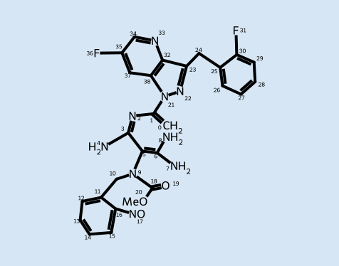 C=C(/N=C(/N)C(=C(N)N)N(Cc1ccccc1N=O)C(=O)OC)n1nc(Cc2ccccc2F)c2ncc(F)cc21